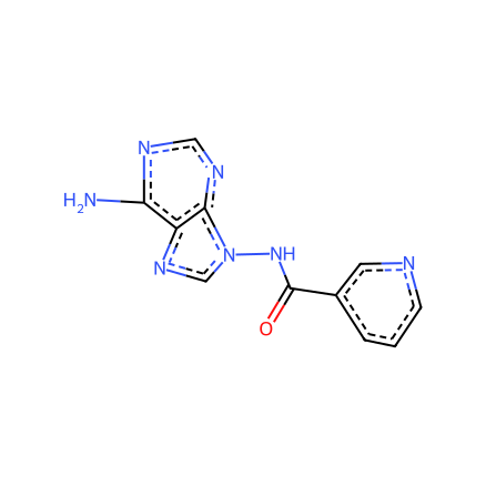 Nc1ncnc2c1ncn2NC(=O)c1cccnc1